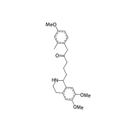 COc1ccc(CC(=O)CCCC2NCCc3cc(OC)c(OC)cc32)c(C)c1